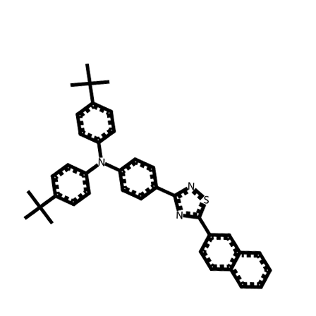 CC(C)(C)c1ccc(N(c2ccc(-c3nsc(-c4ccc5ccccc5c4)n3)cc2)c2ccc(C(C)(C)C)cc2)cc1